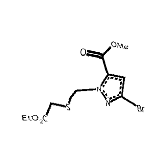 CCOC(=O)CSCn1nc(Br)cc1C(=O)OC